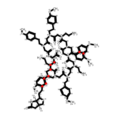 COc1ccc(CCN(CC(=O)N[C@@H](CCCCNC(=O)CCCCC2SC[C@H]3CC(=O)N[C@@H]23)C(N)=O)C(=O)CN(CCc2ccc(OC)cc2)C(=O)CN(CCN)C(=O)CN(CCc2ccc(OC)cc2)C(=O)CN(CCc2ccc(OC)cc2)C(=O)CN(CCN)C(=O)CN(CCc2ccc(OC)cc2)C(=O)CN(CCc2ccc(OC)cc2)C(=O)CN(CCN)C(C)=O)cc1